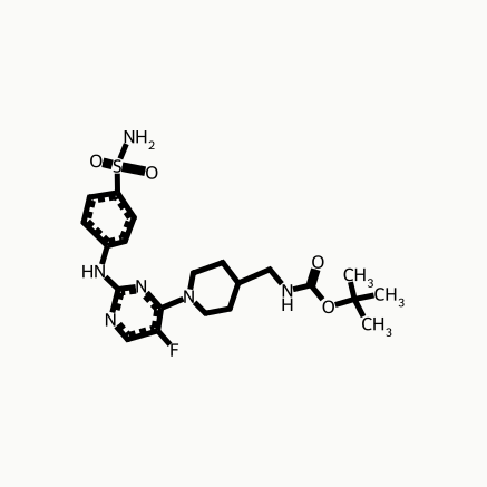 CC(C)(C)OC(=O)NCC1CCN(c2nc(Nc3ccc(S(N)(=O)=O)cc3)ncc2F)CC1